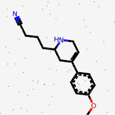 COc1ccc(C2=CCNC(CCCC#N)C2)cc1